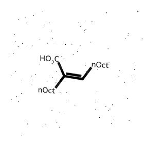 CCCCCCCCC=C(CCCCCCCC)C(=O)O